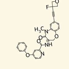 CN1C(=O)[C@@H](NC(=O)c2cc(Oc3ccccc3)ccn2)COc2ccc(C#CC3(F)COC3)cc21